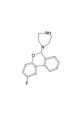 Fc1ccc2c(c1)-c1ccccc1C(N1CCNCC1)O2